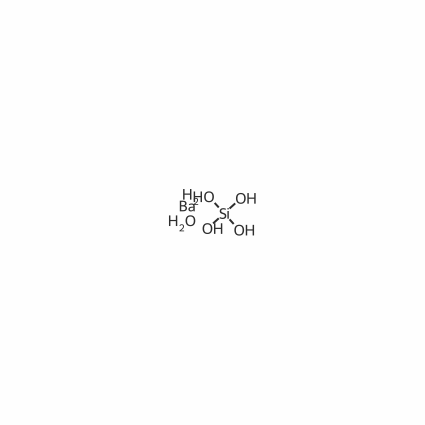 O.O[Si](O)(O)O.[BaH2]